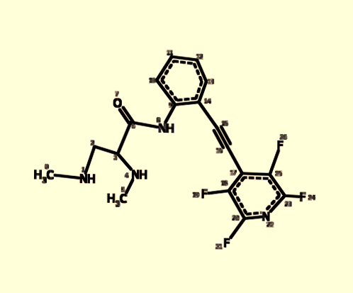 CNCC(NC)C(=O)Nc1ccccc1C#Cc1c(F)c(F)nc(F)c1F